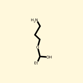 CCC(O)OCCCN